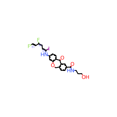 O=C(NCCCO)c1ccc2c(c1)C(=O)c1ccc(N/C(I)=C/C=C(F)\C=C\F)cc1OC2